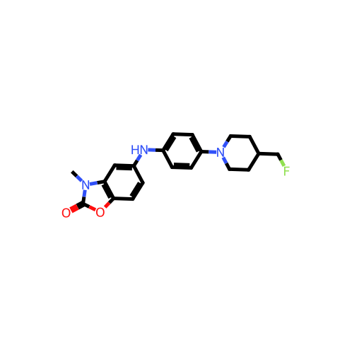 Cn1c(=O)oc2ccc(Nc3ccc(N4CCC(CF)CC4)cc3)cc21